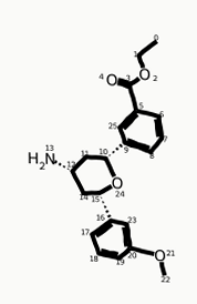 CCOC(=O)c1cccc([C@H]2C[C@@H](N)C[C@@H](c3cccc(OC)c3)O2)c1